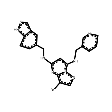 Brc1cnn2c(NCc3cccnc3)cc(NCc3ccc4[nH]ncc4c3)nc12